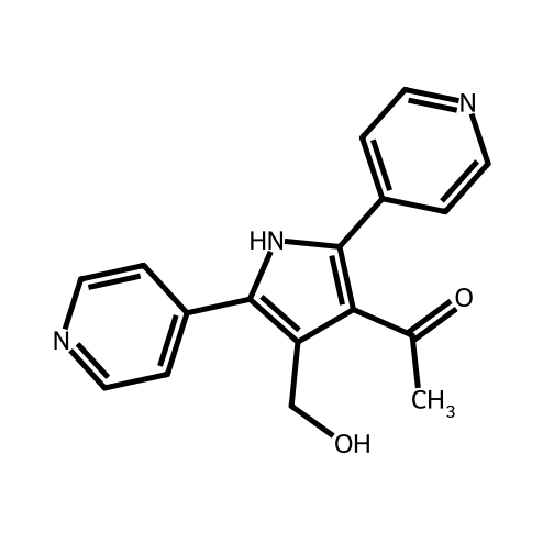 CC(=O)c1c(-c2ccncc2)[nH]c(-c2ccncc2)c1CO